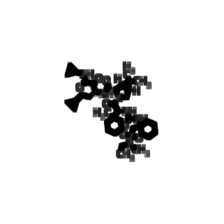 CCN(C)S(=O)(=O)CC1(NC(=O)N[C@H](C(=O)N2C[C@H]3[C@@H]([C@H]2C(=O)N[C@@H](CCC2CC2)C(=O)C(=O)NC2CC2)C3(C)C)C2(C)CCCCC2)CCCCC1